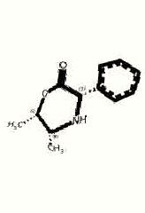 C[C@@H]1OC(=O)[C@H](c2ccccc2)N[C@@H]1C